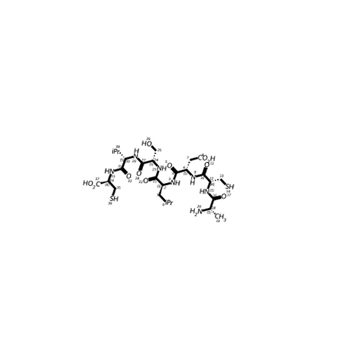 CC(C)C[C@H](NC(=O)[C@H](CC(=O)O)NC(=O)[C@H](CS)NC(=O)[C@H](C)N)C(=O)N[C@@H](CO)C(=O)N[C@H](C(=O)N[C@@H](CS)C(=O)O)C(C)C